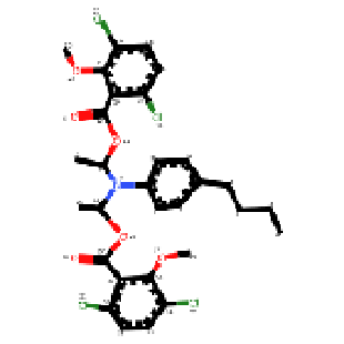 CCCCc1ccc(N(C(C)OC(=O)c2c(Cl)ccc(Cl)c2OC)C(C)OC(=O)c2c(Cl)ccc(Cl)c2OC)cc1